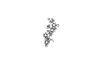 COC(=O)c1cc(Cl)c2nc(CN3C[C@@H]4[C@H](C3)[C@H]4c3cccc4c3OC(C)(c3ccc(Cl)cn3)O4)n(C[C@@H]3CCO3)c2c1